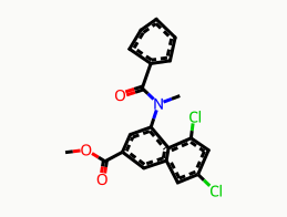 COC(=O)c1cc(N(C)C(=O)c2ccccc2)c2c(Cl)cc(Cl)cc2c1